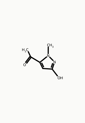 CC(=O)c1cc(O)nn1C